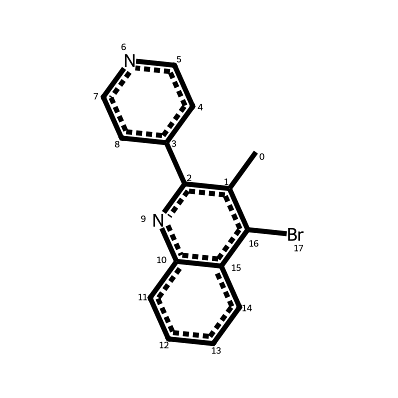 Cc1c(-c2ccncc2)nc2ccccc2c1Br